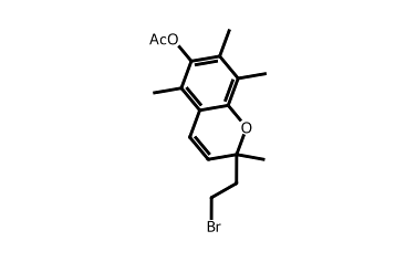 CC(=O)Oc1c(C)c(C)c2c(c1C)C=CC(C)(CCBr)O2